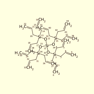 C=CC[Si](CC=C)(CC=C)O[Si](O[Si](CC=C)(CC=C)CC=C)(O[Si](CC=C)(CC=C)CC=C)O[Si](CC=C)(CC=C)CC=C